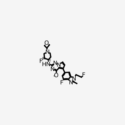 COc1nc(N[C@@H]2CCN(C3COC3)C[C@H]2F)nn2ccc(-c3cc(F)c4nc(C)n(CCF)c4c3)c12